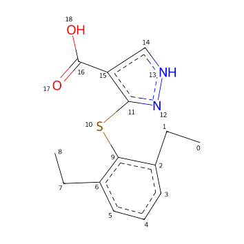 CCc1cccc(CC)c1Sc1n[nH]cc1C(=O)O